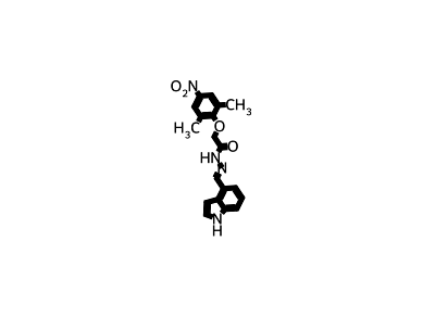 Cc1cc([N+](=O)[O-])cc(C)c1OCC(=O)N/N=C/c1cccc2[nH]ccc12